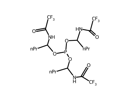 CCCC(NC(=O)C(F)(F)F)OP(OC(CCC)NC(=O)C(F)(F)F)OC(CCC)NC(=O)C(F)(F)F